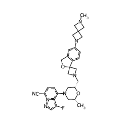 C[C@@H]1CN(c2ccc(C#N)n3ncc(F)c23)C[C@H](CN2CC3(C2)OCc2cc(N4CC5(CN(C)C5)C4)ccc23)O1